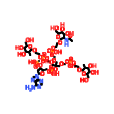 CC(=O)NC1[C@H](OCCOP(=O)(O)OCOCC(COCOP(=O)(O)OCCO[C@@H]2OC(CO)[C@H](O)[C@H](O)C2C)(COCOP(=O)(O)OCCO[C@@H]2OC(CO)[C@H](O)[C@H](O)C2C)OP(=O)(O)OC[C@H]2O[C@@H](n3cnc4c(N)ncnc43)CC2OP(C)(=O)O)OC(CO)[C@H](O)[C@@H]1O